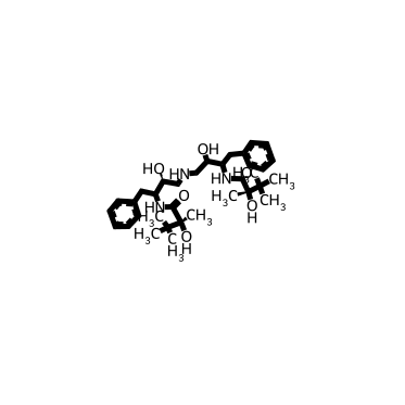 CC(C)(C)[C@@](C)(O)C(=O)NC(Cc1ccccc1)[C@H](O)CNCC(O)C(Cc1ccccc1)NC(=O)[C@@](C)(O)C(C)(C)C